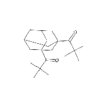 CC(C)(C)C(=O)C12CC3CC(C1)CC(C(=O)C(C)(C)C)(C3)C2